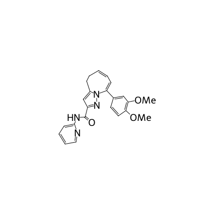 COc1ccc(/C2=C/C=C\CCc3cc(C(=O)Nc4ccccn4)nn32)cc1OC